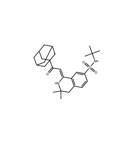 CC(C)(C)NS(=O)(=O)c1ccc2c(c1)/C(=C/C(=O)C13CC4CC(CC(C4)C1)C3)NC(C)(C)C2